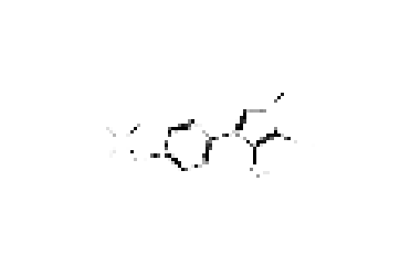 Cn1cc(-c2ccc(O[Si](C)(C)C(C)(C)C)cc2)c(N)c1C#N